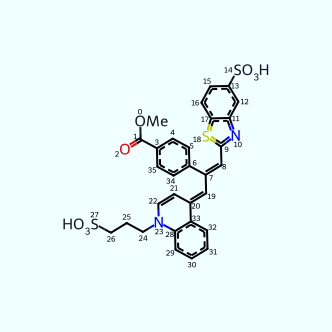 COC(=O)c1ccc(C(=C\c2nc3cc(S(=O)(=O)O)ccc3s2)/C=C2\C=CN(CCCS(=O)(=O)O)c3ccccc32)cc1